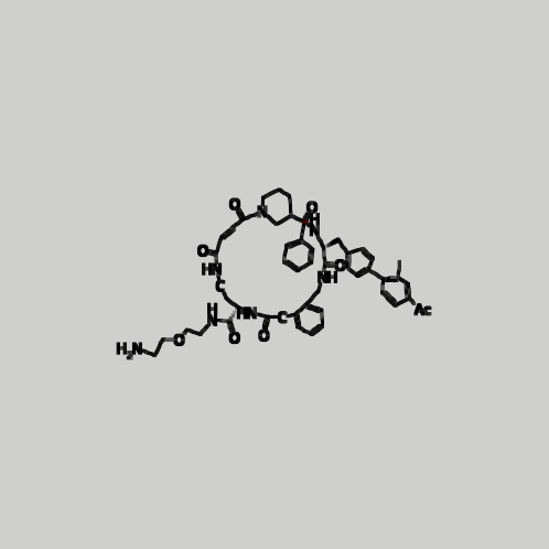 CC(=O)c1ccc(-c2ccc(C[C@@H]3NC(=O)[C@]4(Cc5ccccc5)CCCN(C4)C(=O)/C=C/C(=O)NCC[C@@H](C(=O)NCCOCCN)NC(=O)Cc4ccccc4CNC3=O)cc2)c(C)c1